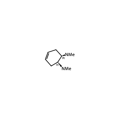 CN[C@H]1CC=CC[C@H]1NC